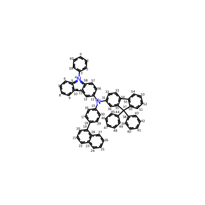 c1ccc(-n2c3ccccc3c3cc(N(c4ccc(-c5cccc6ccccc56)cc4)c4ccc5c(c4)C(c4ccccc4)(c4ccccc4)c4ccccc4-5)ccc32)cc1